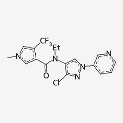 CCN(C(=O)c1cn(C)cc1C(F)(F)F)c1cn(-c2cccnc2)nc1Cl